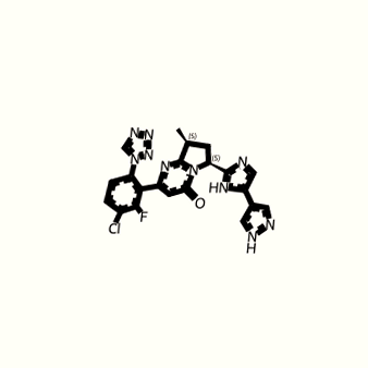 C[C@H]1C[C@@H](c2ncc(-c3cn[nH]c3)[nH]2)n2c1nc(-c1c(-n3cnnn3)ccc(Cl)c1F)cc2=O